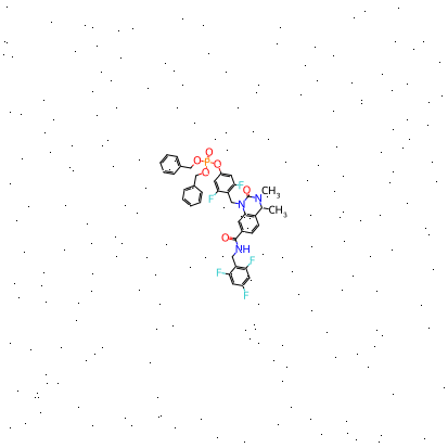 CC1c2ccc(C(=O)NCc3c(F)cc(F)cc3F)cc2N(Cc2c(F)cc(OP(=O)(OCc3ccccc3)OCc3ccccc3)cc2F)C(=O)N1C